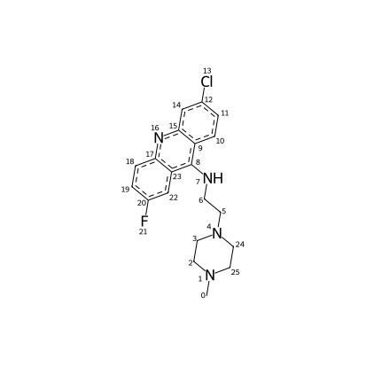 CN1CCN(CCNc2c3ccc(Cl)cc3nc3ccc(F)cc23)CC1